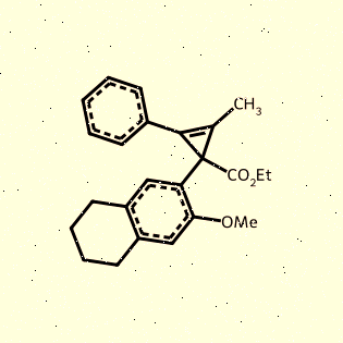 CCOC(=O)C1(c2cc3c(cc2OC)CCCC3)C(C)=C1c1ccccc1